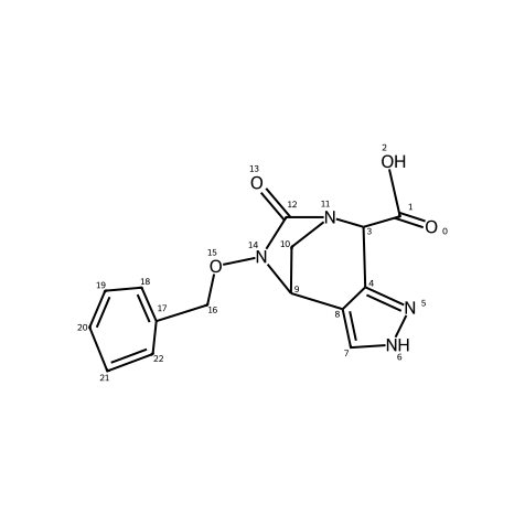 O=C(O)C1c2n[nH]cc2C2CN1C(=O)N2OCc1ccccc1